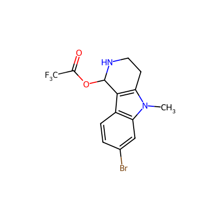 Cn1c2c(c3ccc(Br)cc31)C(OC(=O)C(F)(F)F)NCC2